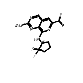 CSc1ncc2cc(C(F)F)nc(N[C@H]3CCCC3(F)F)c2n1